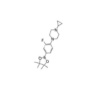 CC1(C)OB(c2ccc(N3CCN(C4CC4)CC3)c(F)c2)OC1(C)C